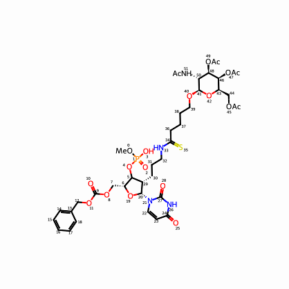 COP(=O)(O)OC1[C@@H](COC(=O)OCc2ccccc2)O[C@@H](n2ccc(=O)[nH]c2=O)[C@H]1CCCNC(=S)CCCCO[C@@H]1O[C@H](COC(C)=O)[C@H](OC(C)=O)[C@H](OC(C)=O)[C@H]1NC(C)=O